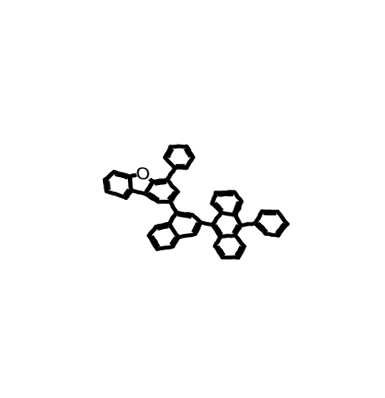 c1ccc(-c2c3ccccc3c(-c3cc(-c4cc(-c5ccccc5)c5oc6ccccc6c5c4)c4ccccc4c3)c3ccccc23)cc1